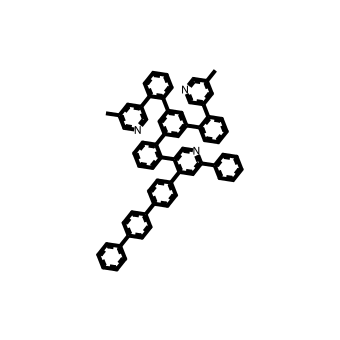 Cc1cncc(-c2ccccc2-c2cc(-c3ccccc3-c3cncc(C)c3)cc(-c3ccccc3-c3cnc(-c4ccccc4)cc3-c3ccc(-c4ccc(-c5ccccc5)cc4)cc3)c2)c1